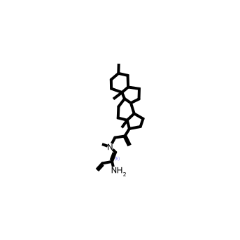 C=C/C(N)=C\N(C)CC(=C)C1CCC2C3CCC4CC(C)CCC4(C)C3CCC12C